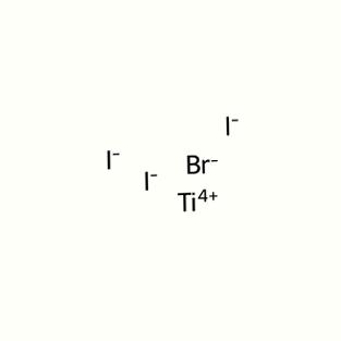 [Br-].[I-].[I-].[I-].[Ti+4]